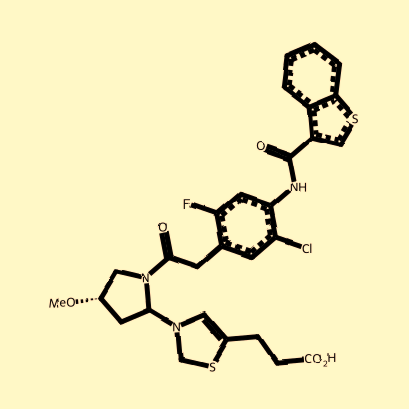 CO[C@H]1CC(N2C=C(CCC(=O)O)SC2)N(C(=O)Cc2cc(Cl)c(NC(=O)c3csc4ccccc34)cc2F)C1